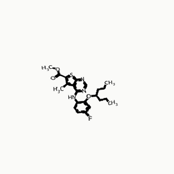 CCCC(CCC)Oc1cc(F)ccc1Nc1ncnc2sc(C(=O)OC)c(C)c12